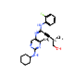 Cc1nc(NC2CCCCC2)ncc1/N=C(\C#C[C@H](C)CO)Nc1ccccc1F